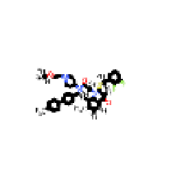 [2H]c1c(C)c([2H])c2c(c1[2H])c(=O)c([2H])c(SC([2H])([2H])c1cccc(F)c1F)n2C([2H])([2H])C(=O)N(Cc1ccc(-c2ccc(C(F)(F)F)cc2)cc1)C1CCN(CCOC([2H])([2H])[2H])CC1